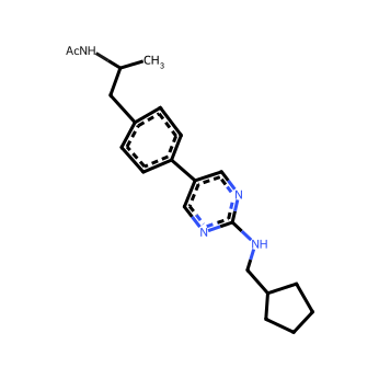 CC(=O)NC(C)Cc1ccc(-c2cnc(NCC3CCCC3)nc2)cc1